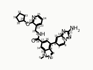 Cn1ncc2c(-c3ccn4nc(N)nc4c3)cc(C(=O)NCc3cccnc3OC3CCCC3)cc21